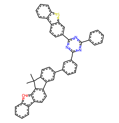 CC1(C)c2ccc(-c3cccc(-c4nc(-c5ccccc5)nc(-c5ccc6c(c5)sc5ccccc56)n4)c3)cc2-c2ccc3c(oc4ccccc43)c21